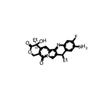 CCC1c2cc(N)c(F)cc2N=c2c1cn1c(=O)c3c(cc21)[C@@](O)(CC)C(=O)OC3